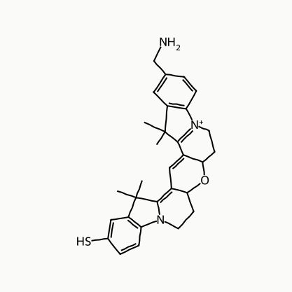 CC1(C)C2=C3C=C4C5=[N+](CCC4OC3CCN2c2ccc(S)cc21)c1ccc(CN)cc1C5(C)C